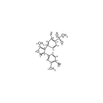 Cc1cc(-c2noc(C)c2-c2ccc(S(C)(=O)=O)c(F)c2)ccc1Br